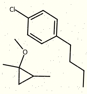 CCCCc1ccc(Cl)cc1.COC1(C)CC1C